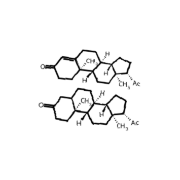 CC(=O)[C@H]1CC[C@H]2[C@@H]3CCC4=CC(=O)CC[C@]4(C)[C@H]3CC[C@]12C.CC(=O)[C@H]1CC[C@H]2[C@@H]3CCC4CC(=O)CC[C@]4(C)[C@H]3CC[C@]12C